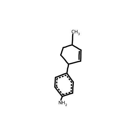 CC1C=CC(c2ccc(N)cc2)CC1